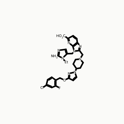 CCn1cncc1Cn1c(CN2CCC(n3ccc(OCc4ccc(Cl)cc4F)n3)CC2)nc2ccc(C(=O)O)nc21.N